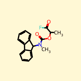 CC(OC(=O)N(C)C1c2ccccc2-c2ccccc21)C(=O)F